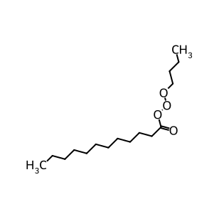 CCCCCCCCCCCC(=O)OOOCCCC